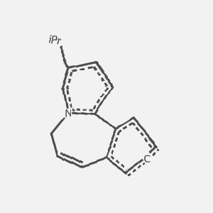 CC(C)c1ccc2[n+](c1)CC=Cc1ccccc1-2